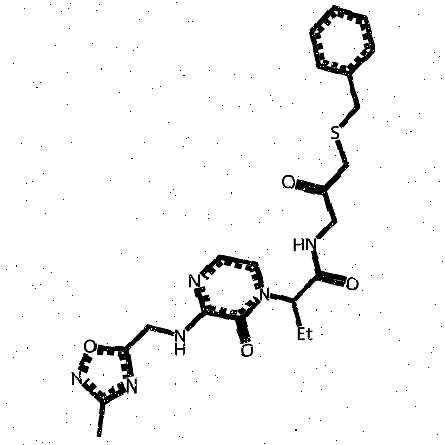 CCC(C(=O)NCC(=O)CSCc1ccccc1)n1ccnc(NCc2nc(C)no2)c1=O